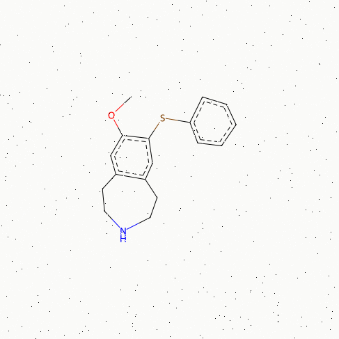 COc1cc2c(cc1Sc1ccccc1)CCNCC2